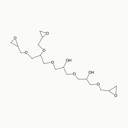 OC(COCC(O)COCC1CO1)COCC(COCC1CO1)OCC1CO1